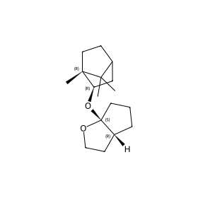 CC1(C)C2CC[C@@]1(C)[C@H](O[C@@]13CCC[C@@H]1CCO3)C2